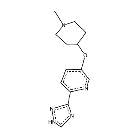 CN1CCC(Oc2ccc(-c3nc[nH]n3)nc2)CC1